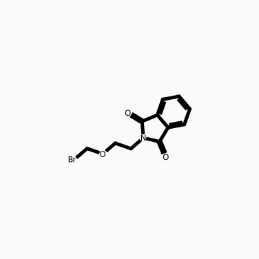 O=C1c2ccccc2C(=O)N1CCOCBr